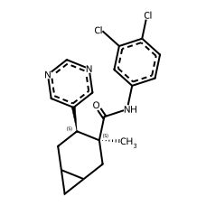 C[C@]1(C(=O)Nc2ccc(Cl)c(Cl)c2)CC2CC2C[C@H]1c1cncnc1